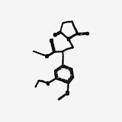 CCOc1cc(C(CN2C(=O)CCC2=O)C(=O)OC)ccc1OC